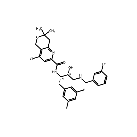 CCc1cccc(CNC[C@@H](O)[C@H](Cc2cc(F)cc(F)c2)NC(=O)c2cc(Cl)c3c(n2)CC(C)(C)OC3)c1